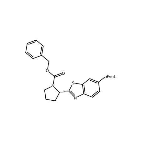 CCCCCc1ccc2nc([C@@H]3CCCN3C(=O)OCc3ccccc3)sc2c1